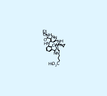 CCONC(=O)c1nnc(NC(=O)C2CC2)cc1Nc1cccc(-c2ncn(CCCC(=O)O)n2)c1OC